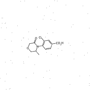 CC1COCC(=O)N1c1ccc(C(=O)O)cc1Cl